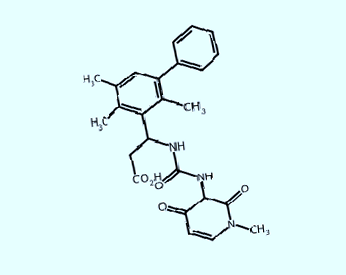 Cc1cc(-c2ccccc2)c(C)c(C(CC(=O)O)NC(=O)NC2C(=O)C=CN(C)C2=O)c1C